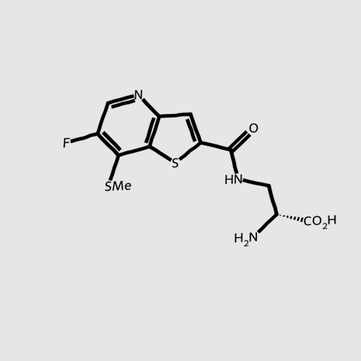 CSc1c(F)cnc2cc(C(=O)NC[C@@H](N)C(=O)O)sc12